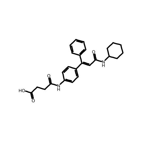 O=C(O)CCC(=O)Nc1ccc(C(=CC(=O)NC2CCCCC2)c2ccccc2)cc1